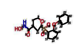 O=C(NO)C1CCOC(S(=O)(=O)c2ccccc2Oc2ccccc2)C1